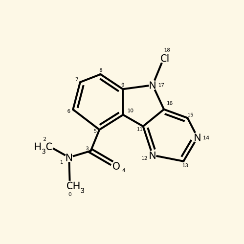 CN(C)C(=O)c1cccc2c1c1ncncc1n2Cl